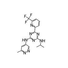 Cc1cc(Nc2nc(NC(C)C)nc(-c3cccc(C(F)(F)F)n3)n2)cnn1